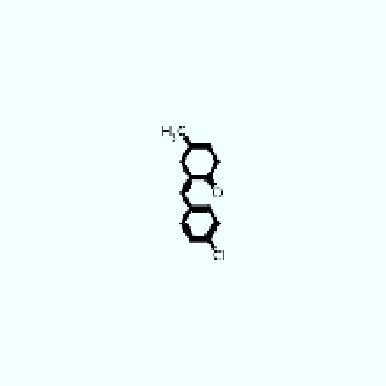 CC1CCC(=O)/C(=C\c2ccc(Cl)cc2)C1